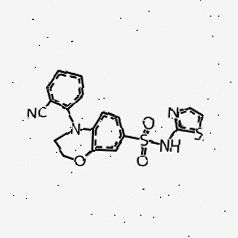 N#Cc1ccccc1N1CCOc2cc(S(=O)(=O)Nc3nccs3)ccc21